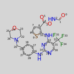 O=CNOC(=O)c1ccsc1Nc1nc(Nc2ccc(CN3CCOCC3)cc2)ncc1C(F)(F)F